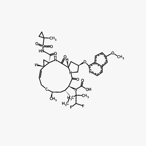 CC[C@@H]1C[C@@H](C)CCC=C[C@@H]2C[C@@]2(C(=O)NS(=O)(=O)C2(C)CC2)NC(=O)[C@@H]2C[C@@H](Oc3nccc4cc(OC)ccc34)CN2C(=O)[C@H]1N(C(=O)O)C(C)(C)C(F)F